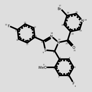 COc1cc(F)ccc1C1SC(c2ccc(F)cc2)=NN1C(=O)c1cncc(Br)c1